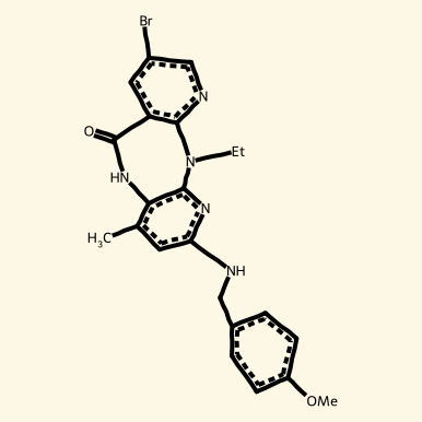 CCN1c2ncc(Br)cc2C(=O)Nc2c(C)cc(NCc3ccc(OC)cc3)nc21